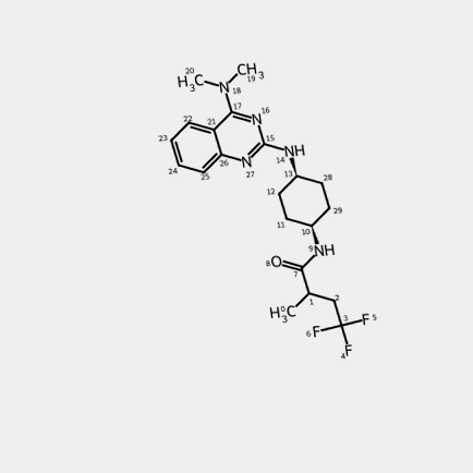 CC(CC(F)(F)F)C(=O)N[C@H]1CC[C@@H](Nc2nc(N(C)C)c3ccccc3n2)CC1